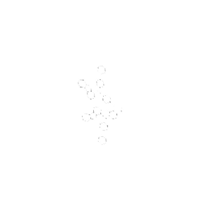 C1=Cc2ccc(N(c3ccc(-c4ccccc4)cc3)c3cccc4c3oc3ccccc34)c3c2C(C1)c1ccc(N(c2ccc(-c4ccccc4)cc2)c2cccc4c2oc2ccccc24)cc1O3